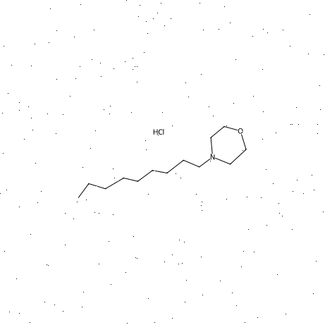 CCCCCCCCCN1CCOCC1.Cl